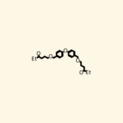 CCC(=O)CCCOCc1ccc(Oc2ccc(COCCCC(=O)CC)cc2)cc1